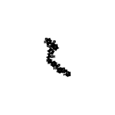 C[C@H]1CCCN1Cc1nc2cc(NC(=O)c3ccc(-c4cnn(CC(O)CN5CCN(c6cccc7c6C(=O)N(C6CCC(=O)NC6=O)C7=O)CC5)c4)cc3)ccc2[nH]1